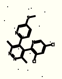 CSc1ccc(-c2c(C)nnc(C)c2-c2ncc(Cl)cc2Cl)nc1